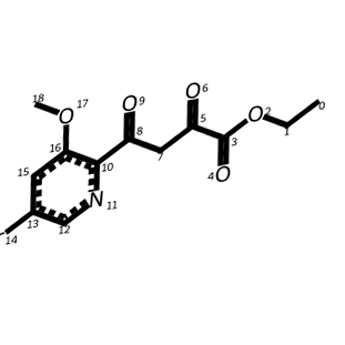 CCOC(=O)C(=O)CC(=O)c1ncc(Br)cc1OC